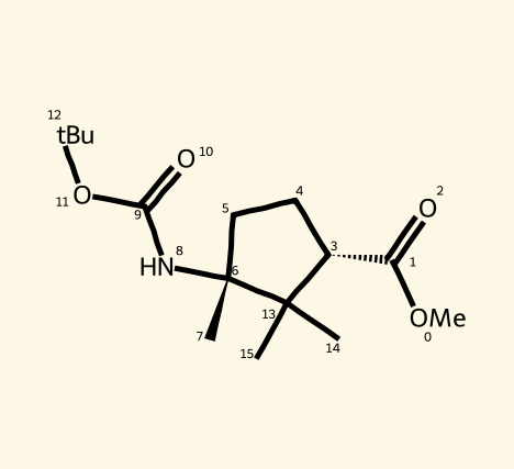 COC(=O)[C@H]1CC[C@@](C)(NC(=O)OC(C)(C)C)C1(C)C